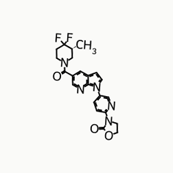 C[C@@H]1CN(C(=O)c2cnc3c(ccn3-c3ccc(N4CCOC4=O)nc3)c2)CCC1(F)F